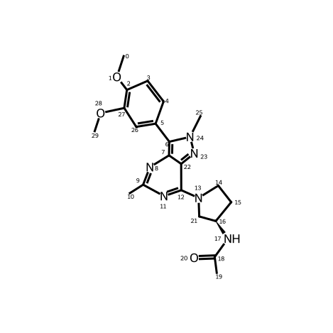 COc1ccc(-c2c3nc(C)nc(N4CC[C@@H](NC(C)=O)C4)c3nn2C)cc1OC